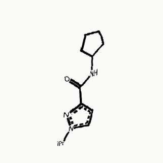 CC(C)n1ccc(C(=O)NC2CCCC2)n1